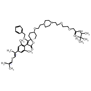 C/C(N)=C/S/C=C(\C)c1cc(C)c(C2=C(OCc3ccccc3)[C@]3(CC[C@H](OCCN4CCN(CCOCCOCC(=O)NC(C)C(C)(C)C)CC4)CC3)OC2=O)c(C)c1